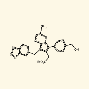 CCOC(=O)Oc1c(-c2ccc(CO)cc2)c2cc([N+](=O)[O-])ccc2n1Cc1ccc2nsnc2c1